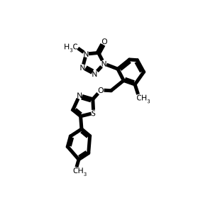 Cc1ccc(-c2cnc(OCc3c(C)cccc3-n3nnn(C)c3=O)s2)cc1